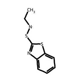 CC[N]Sc1nc2ccccc2s1